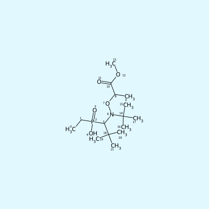 CCP(=O)(O)C(N(OC(C)C(=O)OC)C(C)(C)C)C(C)(C)C